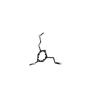 COCOc1cc(CC=O)cc(OC)c1